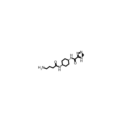 NCCCC(=O)N[C@H]1CC[C@H](NC(=O)c2nnc[nH]2)CC1